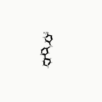 Nc1ccc(Oc2ccnc(-c3ccncc3)c2)cn1